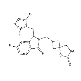 Cn1ncc(Cl)c1CC1c2cc(F)ccc2C(=S)N1CC1CC2(CNC(=O)O2)C1